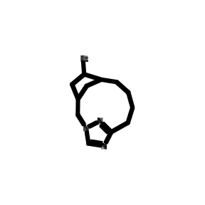 CCC1CC2CC1CCCCc1ncn(n1)C2